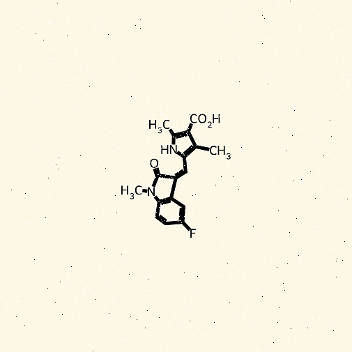 Cc1[nH]c(C=C2C(=O)N(C)c3ccc(F)cc32)c(C)c1C(=O)O